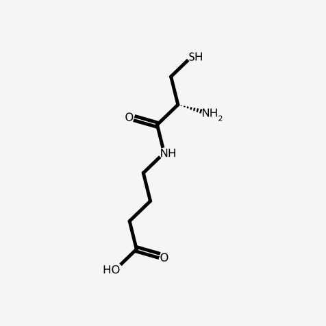 N[C@@H](CS)C(=O)NCCCC(=O)O